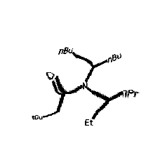 CCCCC(CCCC)N(C(=O)CC(C)(C)C)C(CC)CCC